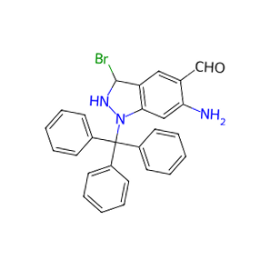 Nc1cc2c(cc1C=O)C(Br)NN2C(c1ccccc1)(c1ccccc1)c1ccccc1